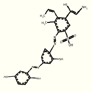 C/C=C\c1c(/C(S)=C/N)cc(S(=O)(=O)O)c(N=Nc2ccc(N=Nc3cc(S)ccc3S)cc2S)c1C